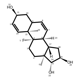 C[C@]12CC[C@]3(F)[C@@H](C=CC4C[C@H](O)C=C[C@@]43C)[C@@H]1C[C@@H](O)[C@@H]2O